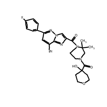 CC(C)c1cc(-c2ccc(F)cc2)nn2cc(C(=O)N3CCN(C(=O)C4(O)CCOCC4)CC3(C)C)nc12